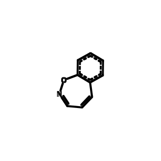 C1=Cc2ccccc2ON=C1